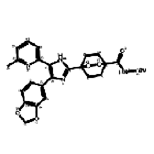 CCCCNC(=O)C12CCC(c3nc(-c4ccc5c(c4)OCO5)c(-c4cccc(C)n4)[nH]3)(CC1)CC2